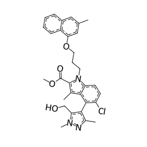 COC(=O)c1c(C)c2c(-c3c(C)nn(C)c3CO)c(Cl)ccc2n1CCCOc1cc(C)cc2ccccc12